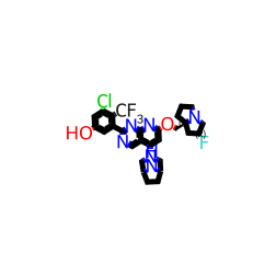 Oc1cc(Cl)c(C(F)(F)F)c(-c2ncc3c(N4CC5CCC(C4)N5)cc(OC[C@@]45CCCN4C[C@H](F)C5)nc3n2)c1